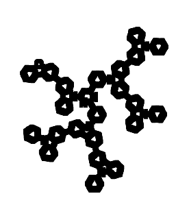 c1ccc(-n2c3ccccc3c3cc(-c4ccc5c(c4)c4cc(-c6ccc7c(c6)c6ccccc6n7-c6ccccc6)ccc4n5-c4cccc(-c5cc(-n6c7ccccc7c7cc(-c8ccc9oc%10ccccc%10c9c8)ccc76)nc(-c6cccc(-n7c8ccc(-c9ccc%10c(c9)c9ccccc9n%10-c9ccccc9)cc8c8cc(-c9ccc%10c(c9)c9ccccc9n%10-c9ccccc9)ccc87)c6)n5)c4)ccc32)cc1